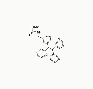 COC(=O)NCc1cccc(C(c2ccccn2)C(c2cccnc2)c2cccnc2)c1